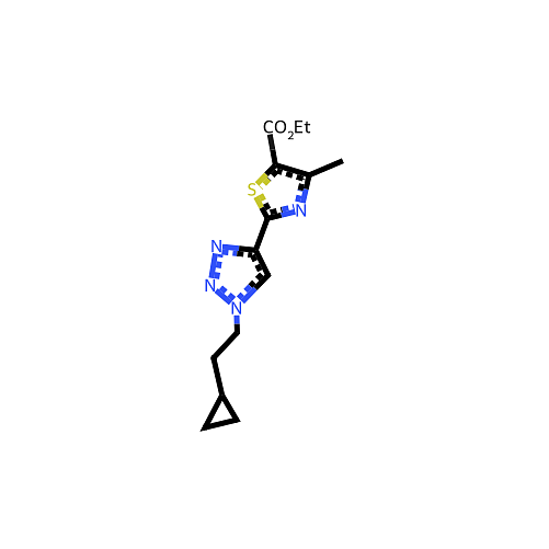 CCOC(=O)c1sc(-c2cn(CCC3CC3)nn2)nc1C